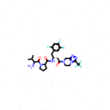 CC(C)C(N)C(=O)N1CCCC1C(=O)N[C@@H](CC(=O)N1CCn2c(nnc2C(F)(F)F)C1)Cc1cc(F)c(F)cc1F